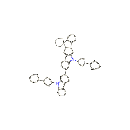 c1ccc(-c2ccc(-n3c4ccccc4c4ccc(-c5ccc6c7cc8c(cc7n(-c7ccc(-c9ccccc9)cc7)c6c5)-c5ccccc5C85CCCCC5)cc43)cc2)cc1